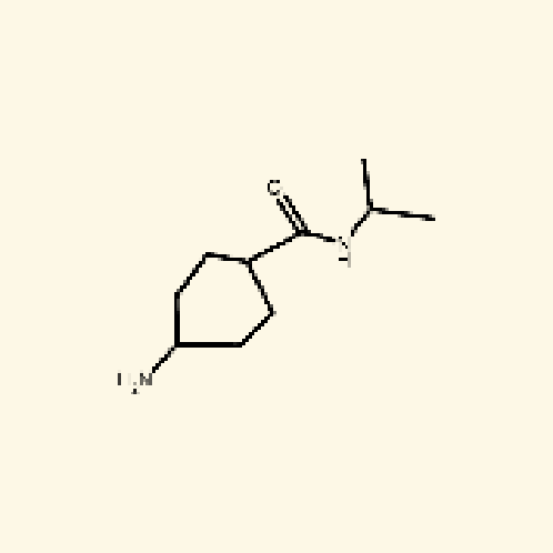 CC(C)NC(=O)C1CCC(N)CC1